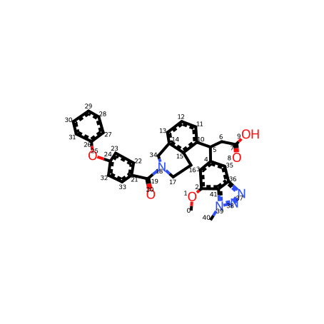 COc1cc(C(CC(=O)O)c2cccc3c2CCN(C(=O)c2ccc(Oc4ccccc4)cc2)C3)cc2nnn(C)c12